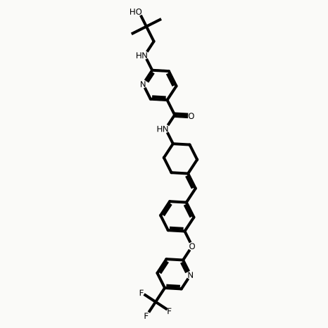 CC(C)(O)CNc1ccc(C(=O)NC2CCC(=Cc3cccc(Oc4ccc(C(F)(F)F)cn4)c3)CC2)cn1